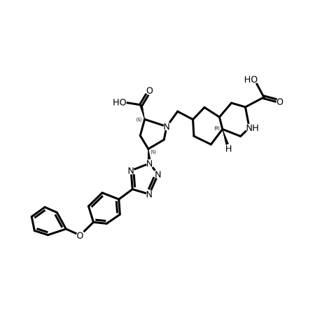 O=C(O)C1CC2CC(CN3C[C@@H](n4nnc(-c5ccc(Oc6ccccc6)cc5)n4)C[C@H]3C(=O)O)CC[C@H]2CN1